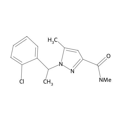 CNC(=O)c1cc(C)n(C(C)c2ccccc2Cl)n1